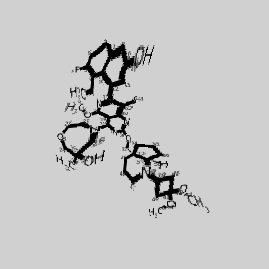 CCc1c(F)ccc2cc(O)cc(-c3nc(OC)c4c(N5CCOC[C@@](C)(O)C5)nc(OC[C@]56CCC[C@H]5N(C5CC(OC)(OC)C5)CCC6)nc4c3F)c12